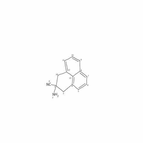 N#CC1(N)Cc2cccc3cccc(c23)C1